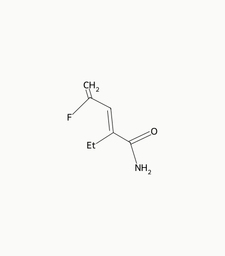 C=C(F)/C=C(\CC)C(N)=O